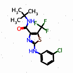 CC(C)(C)NC(=O)c1nc(Nc2cccc(Cl)c2)sc1C(F)(F)F